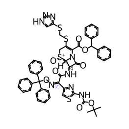 CC(C)(C)OC(=O)Nc1nc(/C(=N/OC(c2ccccc2)(c2ccccc2)c2ccccc2)C(=O)N[C@@H]2C(=O)N3C(C(=O)OC(c4ccccc4)c4ccccc4)=C(SCSc4c[nH]nn4)C[S+]([O-])[C@@H]23)cs1